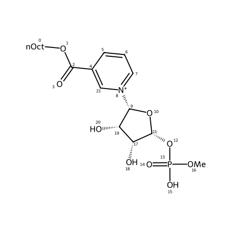 CCCCCCCCOC(=O)c1ccc[n+]([C@@H]2O[C@H](OP(=O)(O)OC)[C@H](O)[C@@H]2O)c1